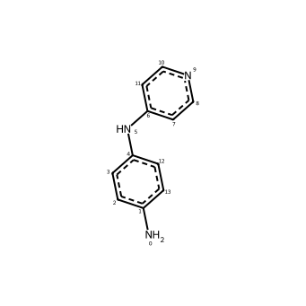 Nc1ccc(Nc2ccncc2)cc1